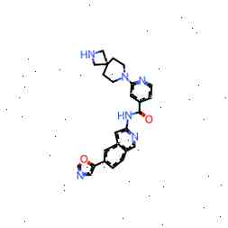 O=C(Nc1cc2cc(-c3cnco3)ccc2cn1)c1ccnc(N2CCC3(CC2)CNC3)c1